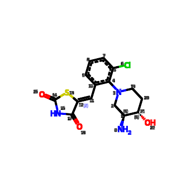 N[C@H]1CN(c2c(Cl)cccc2/C=C2\SC(=O)NC2=O)CC[C@@H]1O